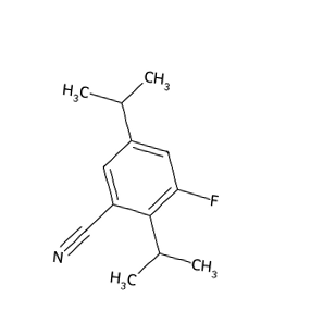 CC(C)c1cc(F)c(C(C)C)c(C#N)c1